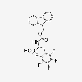 O=C(N[C@@H](Cc1c(F)c(F)c(F)c(F)c1F)C(=O)O)OCC1c2ccccc2-c2ccccc21